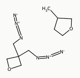 CC1CCOC1.[N-]=[N+]=NCC1(CN=[N+]=[N-])COC1